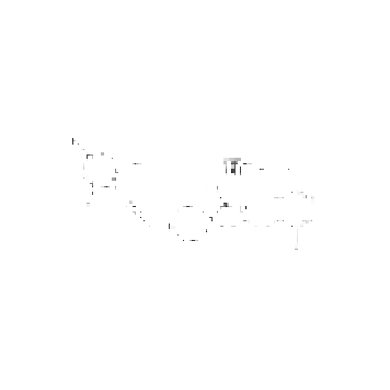 COc1ccc2ncc(F)c(CCCC3(C(=O)NO)CCN(CC#Cc4c(F)cc(F)cc4F)CC3)c2c1